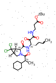 C=CCC[C@H](NC(=O)[C@@H]1[C@@H]2[C@H](CN1C(=O)[C@@H](C)C1CCCCC1)C2(Cl)Cl)C(=O)C(=O)NCCC(=O)OC(C)(C)C